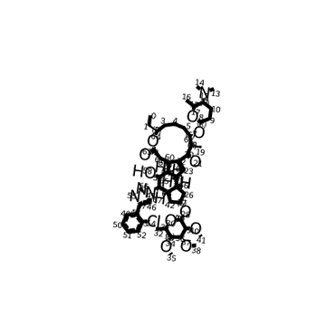 CC[C@H]1CCC[C@H](O[C@H]2CC[C@H](N(C)C)C(C)O2)[C@@H](C)C(=O)C2=C[C@H]3[C@@H]4C[C@H](O[C@@H]5OC(C)[C@H](OC)C(OC)C5OC)C[C@H]4C(n4cc(-c5ccccc5Cl)nn4)C(O)[C@H]3[C@@H]2CC(=O)O1